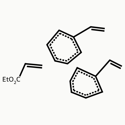 C=CC(=O)OCC.C=Cc1ccccc1.C=Cc1ccccc1